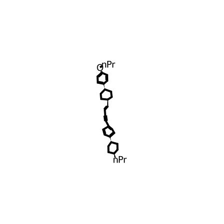 CCCOc1ccc([C@H]2CC[C@H](C=CC#Cc3ccc([C@H]4CC[C@H](CCC)CC4)cc3)CC2)cc1